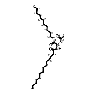 CCCCCCCCCCCCCC(=O)N[C@@H](CC(C)=O)C(=O)OCCCCCCCCCCC